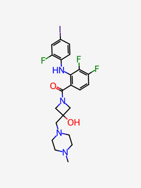 CN1CCN(CC2(O)CN(C(=O)c3ccc(F)c(F)c3Nc3ccc(I)cc3F)C2)CC1